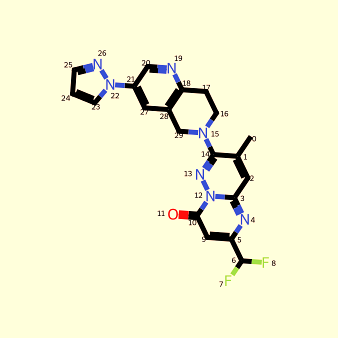 Cc1cc2nc(C(F)F)cc(=O)n2nc1N1CCc2ncc(-n3cccn3)cc2C1